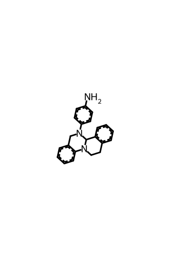 Nc1ccc(N2Cc3ccccc3N3CCc4ccccc4C23)cc1